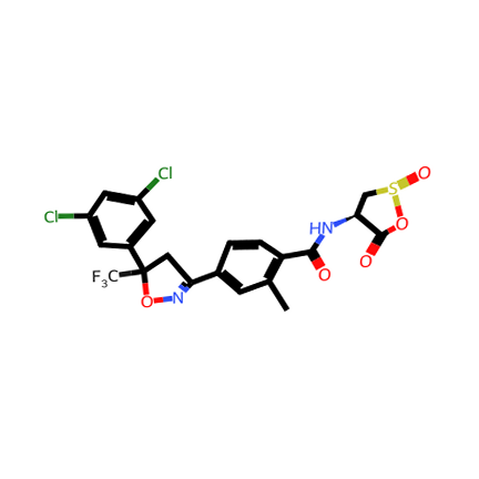 Cc1cc(C2=NOC(c3cc(Cl)cc(Cl)c3)(C(F)(F)F)C2)ccc1C(=O)N[C@H]1CS(=O)OC1=O